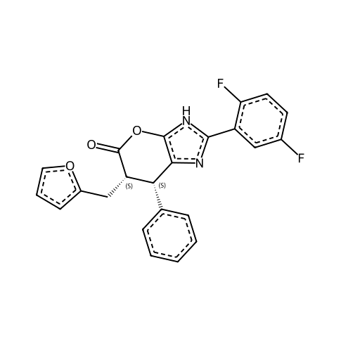 O=C1Oc2[nH]c(-c3cc(F)ccc3F)nc2[C@H](c2ccccc2)[C@@H]1Cc1ccco1